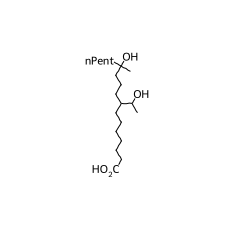 CCCCCC(C)(O)CCCC(CCCCCCC(=O)O)C(C)O